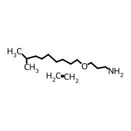 C=C.CC(C)CCCCCCCOCCCN